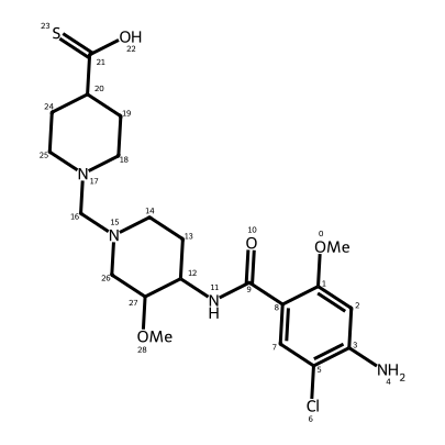 COc1cc(N)c(Cl)cc1C(=O)NC1CCN(CN2CCC(C(O)=S)CC2)CC1OC